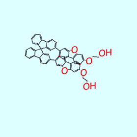 OCCOc1ccc2c(c1)oc1cc(-c3ccc4c(c3)C3(c5ccccc5-4)c4ccccc4-c4ccc(-c5ccc6c(c5)oc5cc(OCCO)ccc56)cc43)ccc12